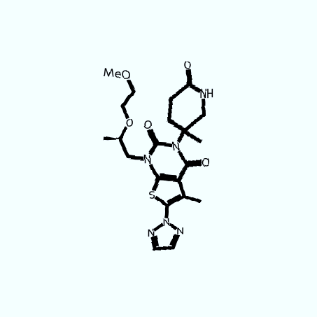 COCCO[C@H](C)Cn1c(=O)n(C2(C)CCC(=O)NC2)c(=O)c2c(C)c(-n3nccn3)sc21